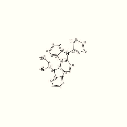 CC(C)(C)CC(n1c2ccccc2c2ccc3c(c4ccccc4n3-c3ccccc3)c21)C(C)(C)C